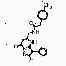 O=C(Cc1ccc(C(F)(F)F)cc1)NCc1cc(=O)n2nc(Cl)c(-c3cccs3)c2[nH]1